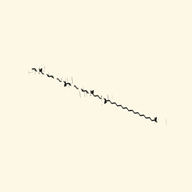 CCNC(=O)COCCOCCNC(=O)COCCOCCNC(=O)CCCNC(=O)CCCCCCCCCCCCCCCCC(=O)O